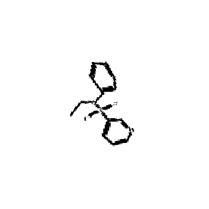 CCN(c1ccccc1)S(=O)(=O)c1cccnc1